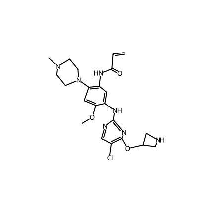 C=CC(=O)Nc1cc(Nc2ncc(Cl)c(OC3CNC3)n2)c(OC)cc1N1CCN(C)CC1